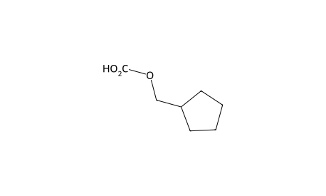 O=C(O)OCC1CCCC1